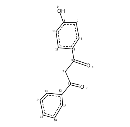 O=C(CC(=O)c1ccc(O)cc1)c1ccccc1